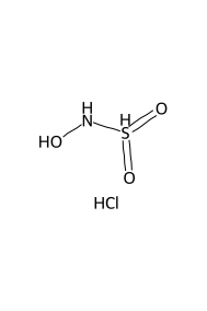 Cl.O=[SH](=O)NO